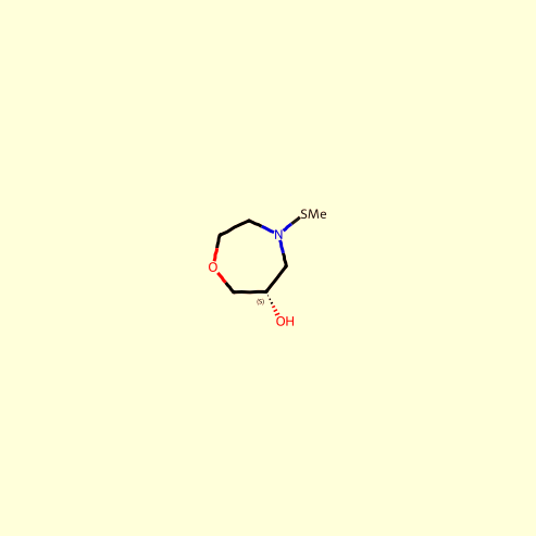 CSN1CCOC[C@@H](O)C1